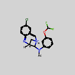 CC(=O)N1c2cccc(OC(F)F)c2[N@+]23C=c4cc(Cl)ccc4=N[C@H](C2)C13